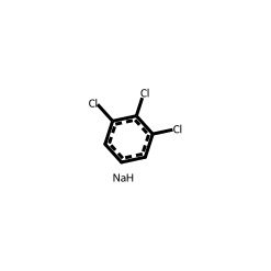 Clc1cccc(Cl)c1Cl.[NaH]